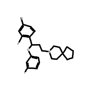 Fc1cc(Br)ccc1C(CCN1CCC2(CCCC2)CC1)Oc1cccc(I)c1